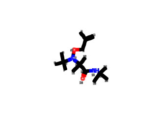 C=C(C)CON(C(C)(C)C)C(C)(C)C(=O)NC(C)(C)C